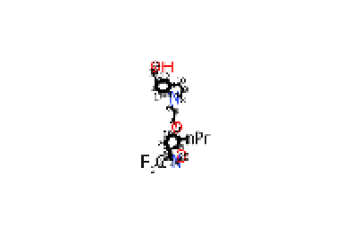 CCCc1c(OCCCN2CCCc3cc(CO)ccc32)ccc2c(C(F)(F)F)noc12